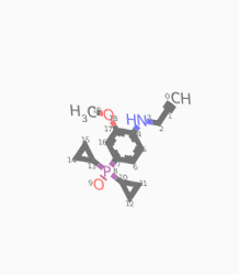 C#CCNc1ccc(P(=O)(C2CC2)C2CC2)cc1OC